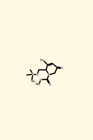 CC(C)C1=CC(=O)CN(C(=O)OC(C)(C)C)C1CO[Si](C)(C)C(C)(C)C